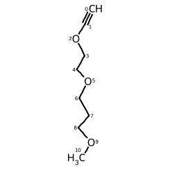 C#COCCOCCCOC